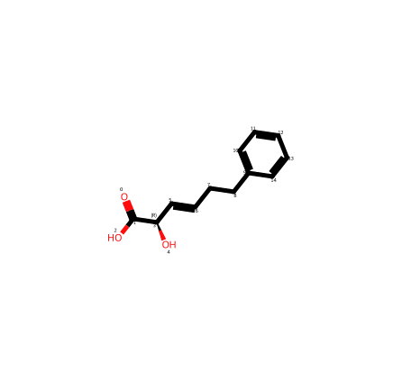 O=C(O)[C@H](O)C=CCCc1ccccc1